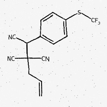 C=CCC(C#N)(C#N)C(C#N)c1ccc(SC(F)(F)F)cc1